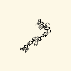 N#Cc1ccc(N2CCC(C(=O)Nc3ccc(CCN4CCC(Oc5ccc6c(c5)C(=O)N(C5CCC(=O)NC5=O)C6=O)CC4)cn3)CC2)cc1C(F)(F)F